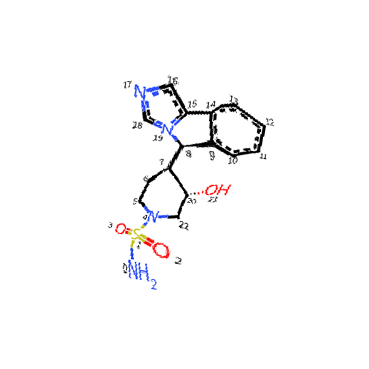 NS(=O)(=O)N1CC[C@@H]([C@@H]2c3ccccc3-c3cncn32)[C@H](O)C1